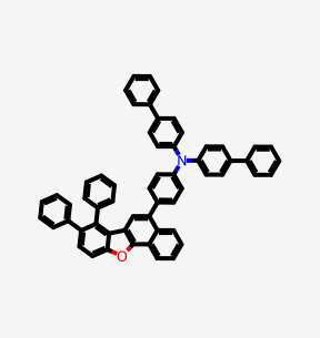 c1ccc(-c2ccc(N(c3ccc(-c4ccccc4)cc3)c3ccc(-c4cc5c(oc6ccc(-c7ccccc7)c(-c7ccccc7)c65)c5ccccc45)cc3)cc2)cc1